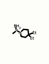 BN(C)N1CCC(CC)(CC)CC1